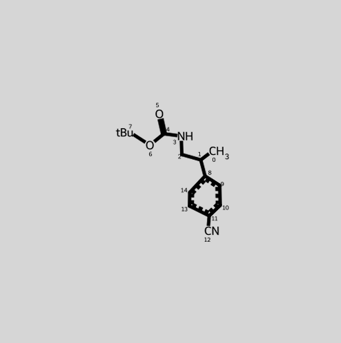 CC(CNC(=O)OC(C)(C)C)c1ccc(C#N)cc1